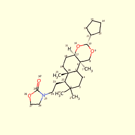 CC1(C)CCC2[C@]3(C)CO[C@@H](C4CCCC4)O[C@@H]3CC[C@@]2(C)[C@@H]1CCN1CCOC1=O